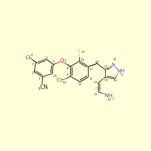 N#Cc1cc(Cl)cc(Oc2c(Cl)ccc(Cc3n[nH]cc3/C=C\N)c2F)c1